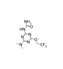 CN(C)c1nc(NC(N)=O)nc(OCC(F)(F)F)n1